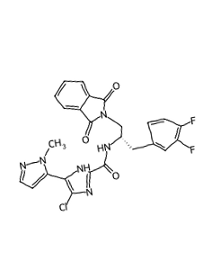 Cn1nccc1-c1[nH]c(C(=O)N[C@@H](Cc2ccc(F)c(F)c2)CN2C(=O)c3ccccc3C2=O)nc1Cl